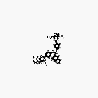 CC1(C)OB(c2ccc(OC(Oc3ccc(B4OC(C)(C)C(C)(C)O4)cc3)c3ccc4c(c3)CCO4)cc2)OC1(C)C